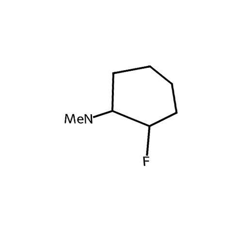 CNC1CCCCC1F